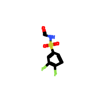 O=[C]NS(=O)(=O)c1ccc(F)c(F)c1